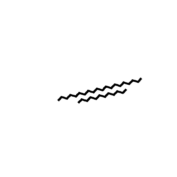 CCCCCCCCCCCC.CCCCCCCCCCCCCCCCCCCC